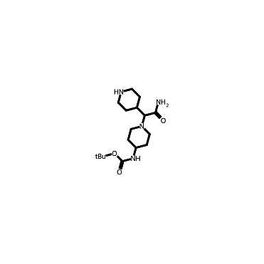 CC(C)(C)OC(=O)NC1CCN(C(C(N)=O)C2CCNCC2)CC1